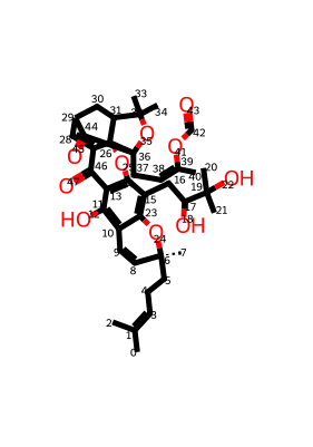 CC(C)=CCC[C@@]1(C)C=Cc2c(O)c3c(c(CC(O)C(C)(C)O)c2O1)O[C@]12C(=CC4CC1C(C)(C)OC2(C/C=C(/C)OC=O)C4=O)C3=O